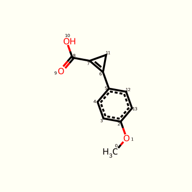 COc1ccc(C2=C(C(=O)O)C2)cc1